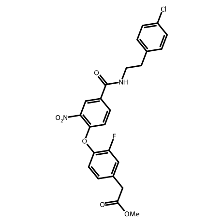 COC(=O)Cc1ccc(Oc2ccc(C(=O)NCCc3ccc(Cl)cc3)cc2[N+](=O)[O-])c(F)c1